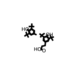 CC(C)(C)c1cc(CCC(=O)O)cc(C(C)(C)C)c1O.Cc1cc(C(C)(C)C)c(O)c(C(C)(C)C)c1